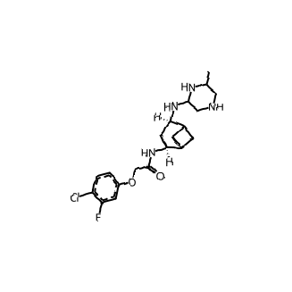 CC1CNCC(N[C@@H]2C[C@H](NC(=O)COc3ccc(Cl)c(F)c3)C3CC2C3)N1